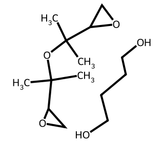 CC(C)(OC(C)(C)C1CO1)C1CO1.OCCCCO